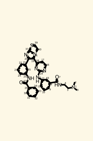 CN(C)CCNC(=O)c1cccc(Nc2nccc(-c3c(-c4cccc(NC(=O)c5ccccc5)c4)nc4sccn34)n2)c1